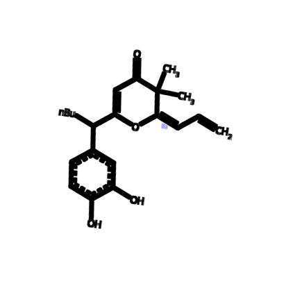 C=C/C=C1/OC(C(CCCC)c2ccc(O)c(O)c2)=CC(=O)C1(C)C